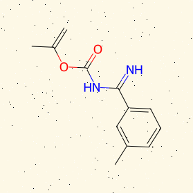 C=C(C)OC(=O)NC(=N)c1cc[c]c(C)c1